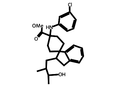 COC(=O)C1(Nc2cccc(Cl)c2)CCC2(CC1)c1ccccc1CC2CC(C)C(C)O